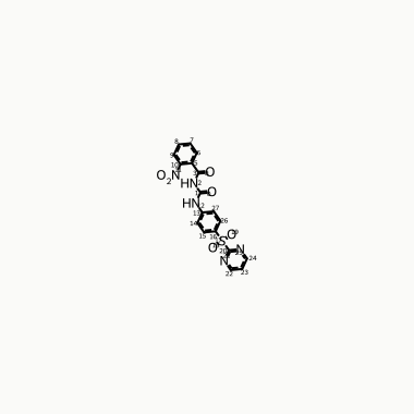 O=C(NC(=O)c1ccccc1[N+](=O)[O-])Nc1ccc(S(=O)(=O)c2ncccn2)cc1